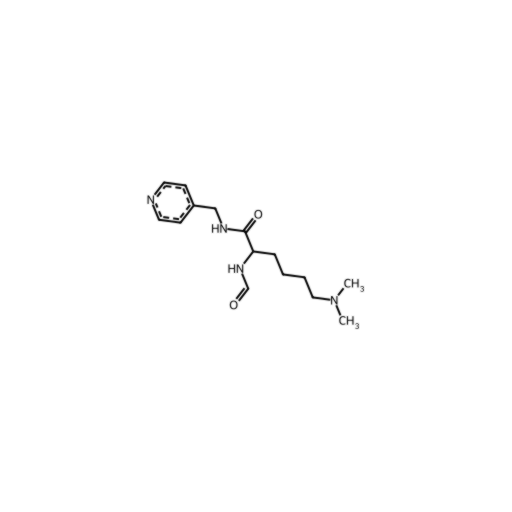 CN(C)CCCCC(NC=O)C(=O)NCc1ccncc1